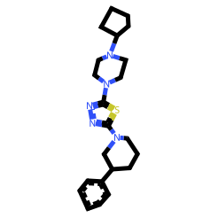 c1ccc(C2CCCN(c3nnc(N4CCN(C5CCCC5)CC4)s3)C2)cc1